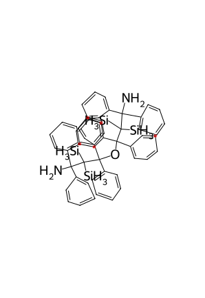 NC(c1ccccc1)(c1ccccc1)C([SiH3])([SiH3])C(OC(c1ccccc1)(c1ccccc1)C([SiH3])([SiH3])C(N)(c1ccccc1)c1ccccc1)(c1ccccc1)c1ccccc1